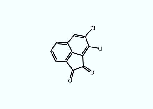 O=C1C(=O)c2c(Cl)c(Cl)cc3cccc1c23